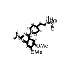 COc1cc2nc(N(C)C)nc(N3CCC(CCN[SH](=O)=O)CC3)c2cc1OC